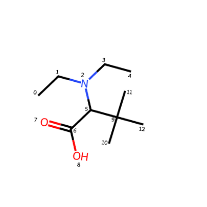 CCN(CC)C(C(=O)O)C(C)(C)C